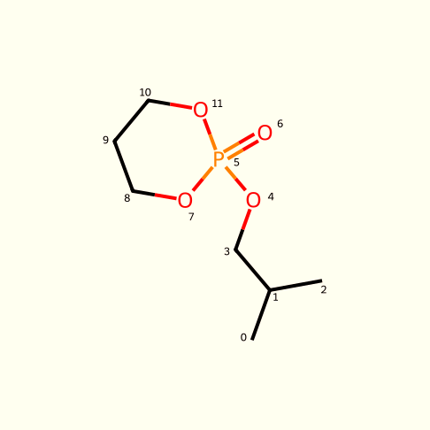 CC(C)COP1(=O)OCCCO1